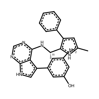 Cc1cc(-c2ccccc2)c([C@H](C)Nc2ncnc3[nH]cc(-c4cc(N)cc(O)c4)c23)[nH]1